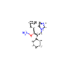 NOC(CCC(=O)O)=C(Cn1ccnc1)C1CCCCC1